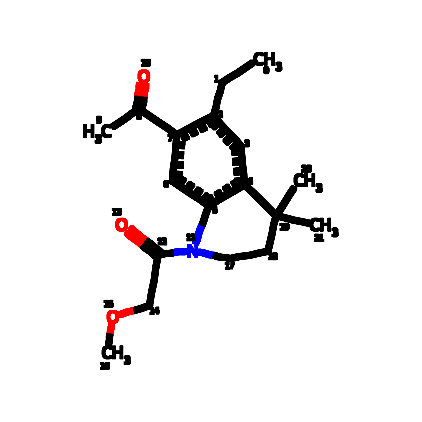 CCc1cc2c(cc1C(C)=O)N(C(=O)COC)CCC2(C)C